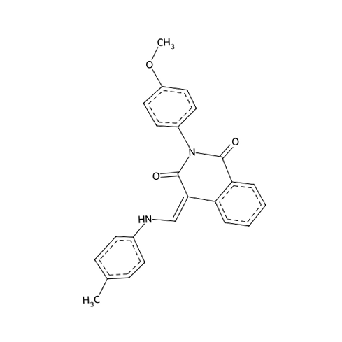 COc1ccc(N2C(=O)C(=CNc3ccc(C)cc3)c3ccccc3C2=O)cc1